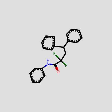 O=C(Nc1ccccc1)C(F)(F)CC(c1ccccc1)c1ccccc1